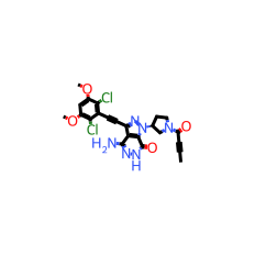 CC#CC(=O)N1CC[C@H](n2nc(C#Cc3c(Cl)c(OC)cc(OC)c3Cl)c3c(N)n[nH]c(=O)c32)C1